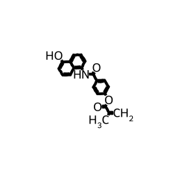 C=C(C)C(=O)Oc1ccc(C(=O)Nc2cccc3c(O)cccc23)cc1